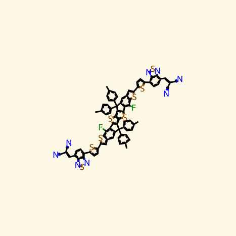 Cc1ccc(C2(c3ccc(C)cc3)c3cc4cc(-c5ccc(-c6ccc(C=C(C#N)C#N)c7nsnc67)s5)sc4c(F)c3-c3sc4c5c(sc4c32)-c2c(cc3cc(-c4ccc(-c6ccc(C=C(C#N)C#N)c7nsnc67)s4)sc3c2F)C5(c2ccc(C)cc2)c2ccc(C)cc2)cc1